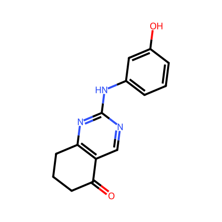 O=C1CCCc2nc(Nc3cccc(O)c3)ncc21